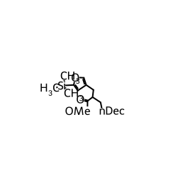 CCCCCCCCCCCC(Cc1coc([Si](C)(C)C)c1)C(=O)OC